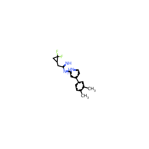 Cc1ccc(-c2cc[nH]/c(=N\C(=N)CC3CC3(F)F)c2)cc1C